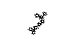 C1=Cc2c(c3ccccc3n2-c2ccc(-c3ccc(-c4cccc(-c5nc(-c6ccccc6)cc(-c6ccccc6)n5)c4)cc3)cc2)CC1